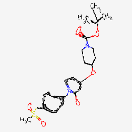 CC(C)(C)OC(=O)N1CCC(Oc2ccn(-c3ccc(S(C)(=O)=O)cc3)c(=O)c2)CC1